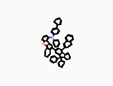 c1ccc(-c2ccc(N(c3ccccc3)c3cccc4oc5c6ccccc6c(-c6cc(-c7ccc8ccccc8c7)c7c(c6)C(c6ccccc6)(c6ccccc6)c6ccccc6-7)cc5c34)cc2)cc1